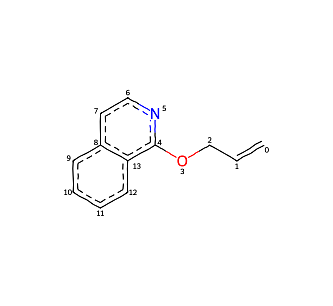 C=CCOc1nccc2ccccc12